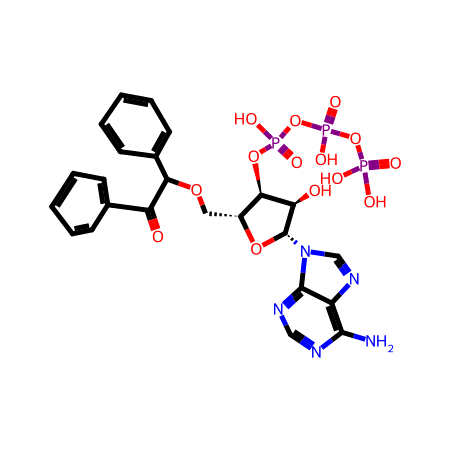 Nc1ncnc2c1ncn2[C@@H]1O[C@H](COC(C(=O)c2ccccc2)c2ccccc2)[C@@H](OP(=O)(O)OP(=O)(O)OP(=O)(O)O)[C@H]1O